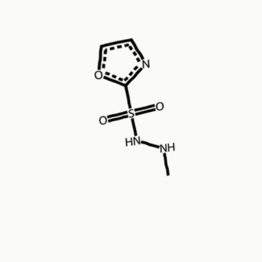 CNNS(=O)(=O)c1ncco1